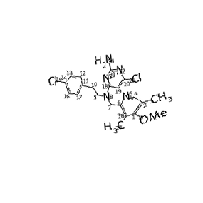 COc1c(C)cnc(CN(CCc2ccc(Cl)cc2)c2cc(Cl)nc(N)n2)c1C